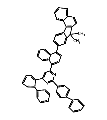 CC1(C)c2cc(-c3ccc(-c4cc(-c5ccccc5-c5ccccc5)nc(-c5ccc(-c6ccccc6)cc5)n4)c4ccccc34)ccc2-c2c1ccc1ccccc21